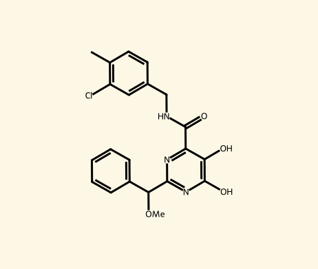 COC(c1ccccc1)c1nc(O)c(O)c(C(=O)NCc2ccc(C)c(Cl)c2)n1